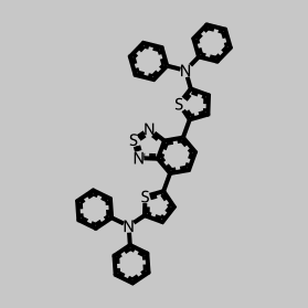 c1ccc(N(c2ccccc2)c2ccc(-c3ccc(-c4ccc(N(c5ccccc5)c5ccccc5)s4)c4nsnc34)s2)cc1